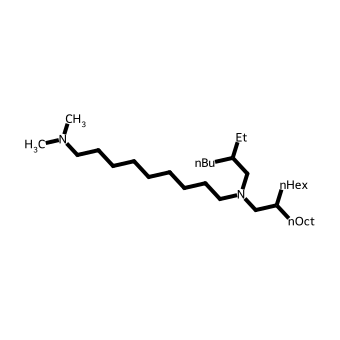 CCCCCCCCC(CCCCCC)CN(CCCCCCCCCN(C)C)CC(CC)CCCC